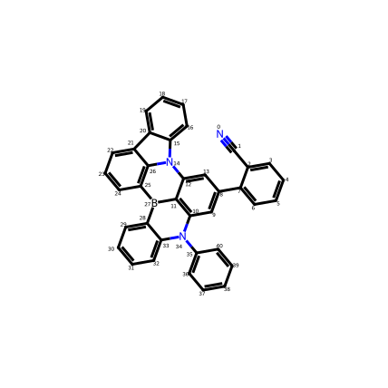 N#Cc1ccccc1-c1cc2c3c(c1)-n1c4ccccc4c4cccc(c41)B3c1ccccc1N2c1ccccc1